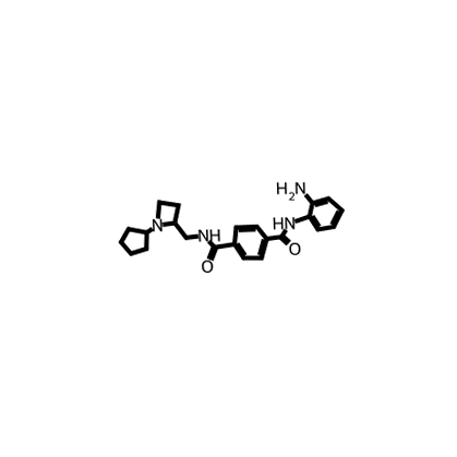 Nc1ccccc1NC(=O)c1ccc(C(=O)NCC2CCN2C2CCCC2)cc1